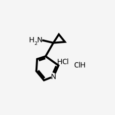 Cl.Cl.NC1(c2cccnc2)CC1